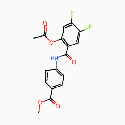 COC(=O)c1ccc(NC(=O)c2cc(F)c(F)cc2OC(C)=O)cc1